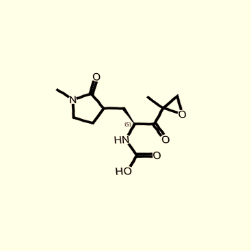 CN1CCC(C[C@H](NC(=O)O)C(=O)C2(C)CO2)C1=O